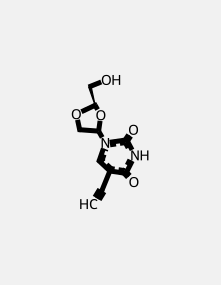 C#Cc1cn(C2CO[C@@H](CO)O2)c(=O)[nH]c1=O